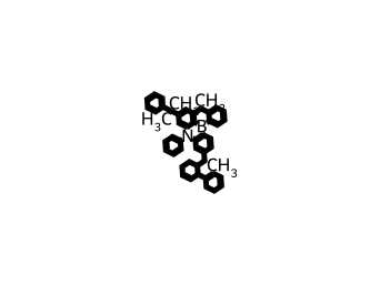 CC1=C(C2C=CCCC2Cc2ccc3c(c2)N(c2ccccc2)c2cc(C(C)(C)c4ccccc4)cc4c2B3c2ccccc2C4C)CCC=C1